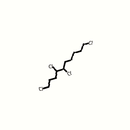 ClCCCCCC(Cl)C(Cl)CCCCl